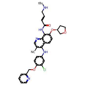 CC(C)(C)NC/C=C/C(=O)Nc1c(O[C@H]2CCOC2)ccc2c(Nc3ccc(OCc4ccccn4)c(Cl)c3)c(C#N)cnc12